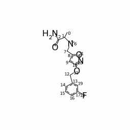 CC(C(N)=O)N(C)Cc1cc(OCc2cccc(F)c2)no1